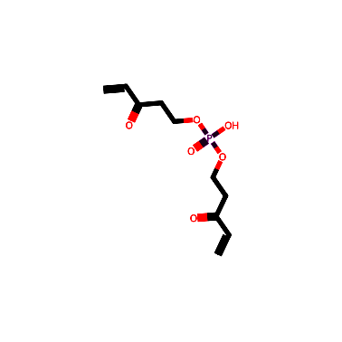 C=CC(=O)CCOP(=O)(O)OCCC(=O)C=C